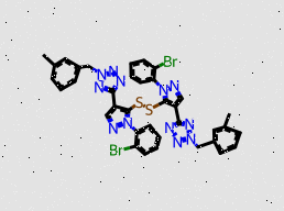 Cc1cccc(Cn2nnc(-c3cnn(-c4ccccc4Br)c3SSc3c(-c4nnn(Cc5cccc(C)c5)n4)cnn3-c3ccccc3Br)n2)c1